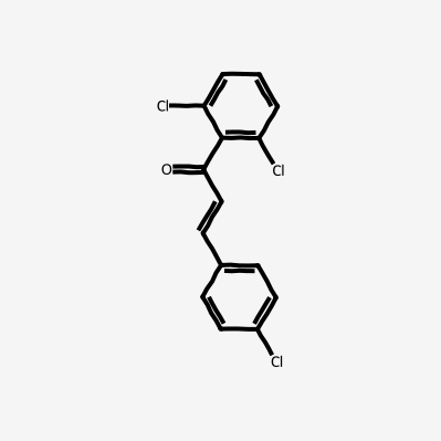 O=C(/C=C/c1ccc(Cl)cc1)c1c(Cl)cccc1Cl